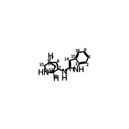 c1ccc2[nH]c(NC3C[C@@H]4CN[C@H]3C4)cc2c1